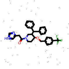 O=C(Cc1c[nH]cn1)N1CCC(OCc2ccc(C(F)(F)F)cc2)C(C(c2ccccc2)c2ccccc2)C1